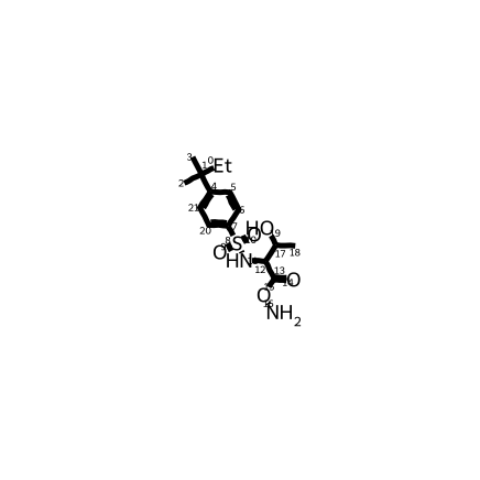 CCC(C)(C)c1ccc(S(=O)(=O)NC(C(=O)ON)C(C)O)cc1